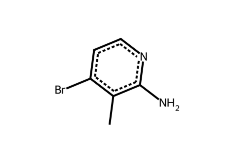 Cc1c(Br)ccnc1N